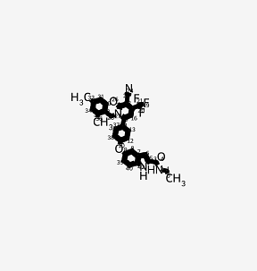 CCNC(=O)c1cc2cc(Oc3ccc(-c4cc(C(F)(F)F)c(C#N)c(=O)n4Cc4ccc(C)cc4C)cc3)ccc2[nH]1